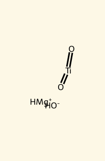 [MgH+].[OH-].[O]=[Ti]=[O]